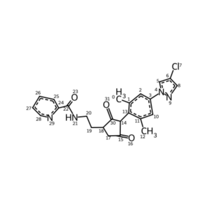 Cc1cc(-n2cc(Cl)cn2)cc(C)c1C1C(=O)CC(CCNC(=O)c2ccccn2)C1=O